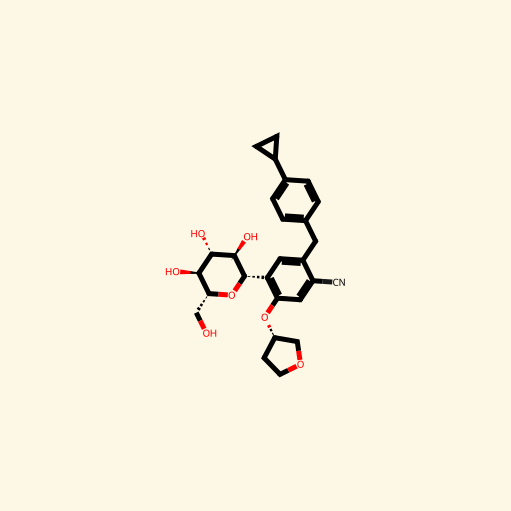 N#Cc1cc(O[C@H]2CCOC2)c([C@@H]2O[C@H](CO)[C@@H](O)[C@H](O)[C@H]2O)cc1Cc1ccc(C2CC2)cc1